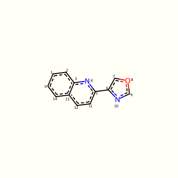 c1ccc2nc(-c3cocn3)ccc2c1